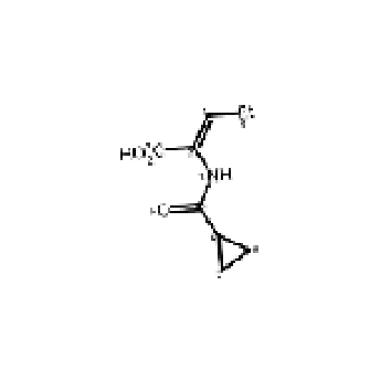 CC/C=C(\NC(=O)C1CC1)C(=O)O